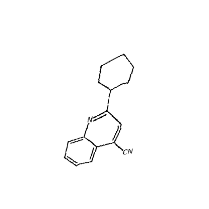 N#Cc1cc(C2CCCCC2)nc2ccccc12